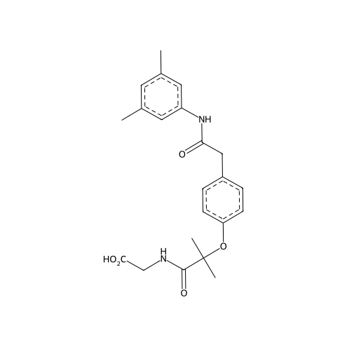 Cc1cc(C)cc(NC(=O)Cc2ccc(OC(C)(C)C(=O)NCC(=O)O)cc2)c1